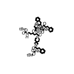 CC(C)CC(NC(=O)C(Cc1ccccc1)NC(=O)C(Cc1ccccc1)NC(=O)OC(C)(C)C)C(=O)NC(CCCCNC(=O)OC(C)(C)C)C(=O)N1CCC2(CC1)CN(C(=O)C(Cc1ccccc1)NC(=O)OC(C)(C)C)C2